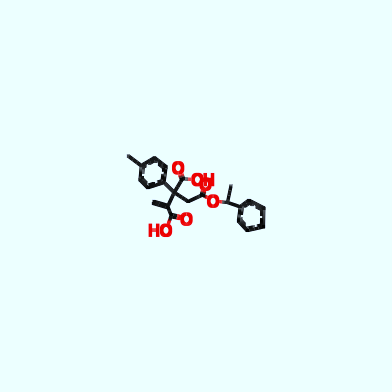 C=C(C(=O)O)C(CC(=O)OC(C)c1ccccc1)(C(=O)O)c1ccc(C)cc1